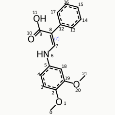 COc1ccc(N/C=C(\C(=O)O)c2ccccc2)cc1OC